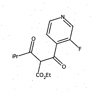 CCOC(=O)C(C(=O)c1ccncc1F)C(=O)C(C)C